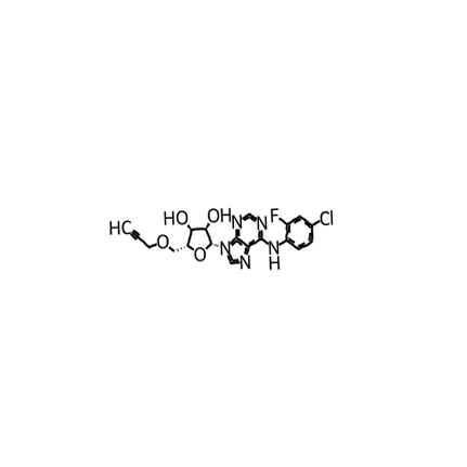 C#CCOC[C@H]1O[C@@H](n2cnc3c(Nc4ccc(Cl)cc4F)ncnc32)[C@H](O)[C@@H]1O